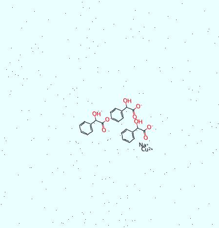 O=C([O-])C(O)c1ccccc1.O=C([O-])C(O)c1ccccc1.O=C([O-])C(O)c1ccccc1.[Cu+2].[Na+]